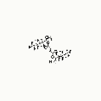 CC(OC(=O)C=CC(=O)OC(C)C(F)(F)C(F)(F)C(F)(F)C(F)(F)F)C(F)(F)C(F)(F)C(F)(F)C(F)(F)F